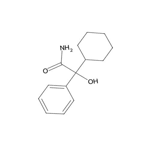 NC(=O)C(O)(c1ccccc1)C1CCCCC1